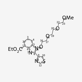 CCOC(=O)c1cccc2c1nc(-c1cscn1)n2OCCOCCOCCOC